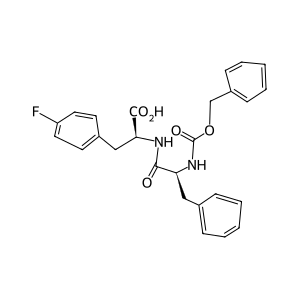 O=C(N[C@@H](Cc1ccccc1)C(=O)N[C@@H](Cc1ccc(F)cc1)C(=O)O)OCc1ccccc1